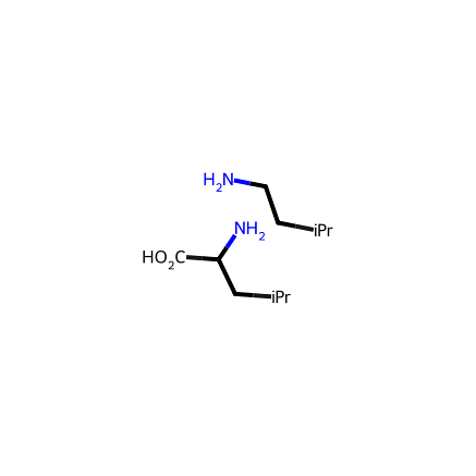 CC(C)CC(N)C(=O)O.CC(C)CCN